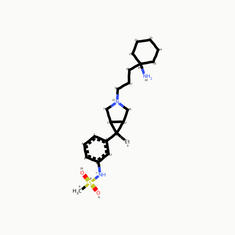 CCC1(c2cccc(NS(C)(=O)=O)c2)C2CN(CCCC3(N)CCCCC3)CC21